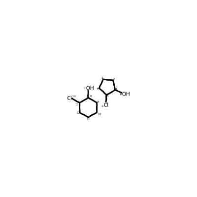 OC1CCCC1Cl.OC1CCCCC1Cl